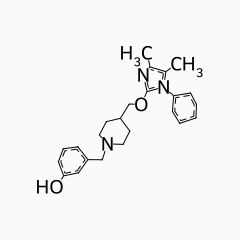 Cc1nc(OCC2CCN(Cc3cccc(O)c3)CC2)n(-c2ccccc2)c1C